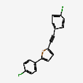 Fc1ccc(C#Cc2ccc(-c3ccc(F)cc3)s2)cc1